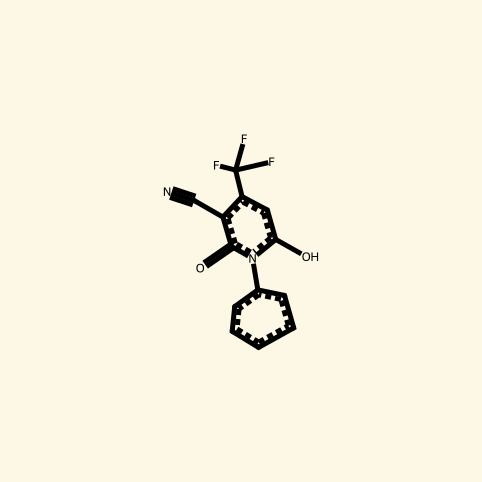 N#Cc1c(C(F)(F)F)cc(O)n(-c2ccccc2)c1=O